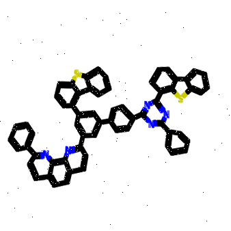 c1ccc(-c2ccc3ccc4ccc(-c5cc(-c6ccc(-c7nc(-c8ccccc8)nc(-c8cccc9c8sc8ccccc89)n7)cc6)cc(-c6cccc7sc8ccccc8c67)c5)nc4c3n2)cc1